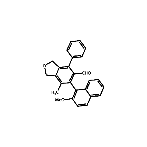 COc1ccc2ccccc2c1-c1c(C)c2c(c(-c3ccccc3)c1C=O)COC2